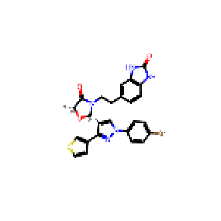 C[C@H]1O[C@@H](c2cn(-c3ccc(Br)cc3)nc2-c2ccsc2)N(CCc2ccc3[nH]c(=O)[nH]c3c2)C1=O